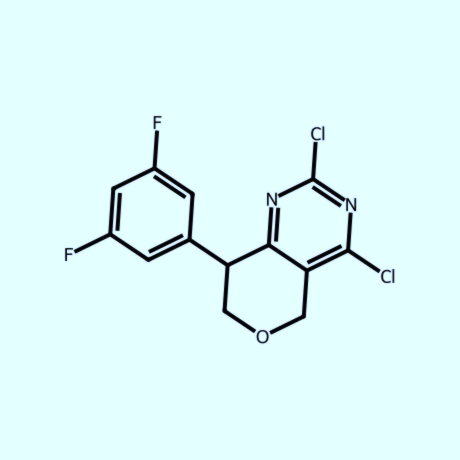 Fc1cc(F)cc(C2COCc3c(Cl)nc(Cl)nc32)c1